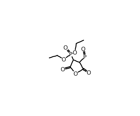 CCOP(=O)(OCC)C1C(=O)OC(=O)C1P=O